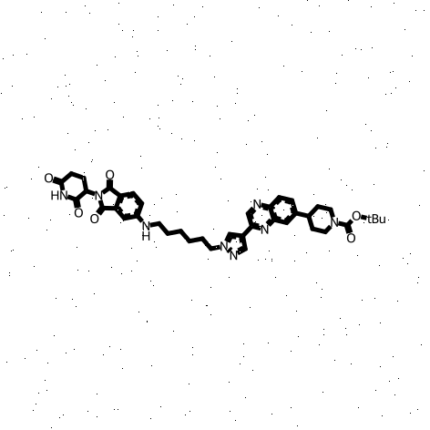 CC(C)(C)OC(=O)N1CCC(c2ccc3ncc(-c4cnn(CCCCCCNc5ccc6c(c5)C(=O)N(C5CCC(=O)NC5=O)C6=O)c4)nc3c2)CC1